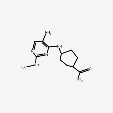 CC(C)(C)Nc1ncc(N)c(NC2CCC(C(N)=O)CC2)n1